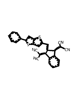 N#CC(C#N)=C1C(=Cc2cc3sc(-c4ccccc4)cc3s2)C(=C(C#N)C#N)c2ccccc21